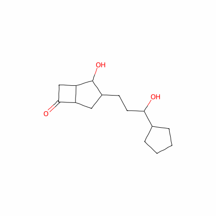 O=C1CC2C1CC(CCC(O)C1CCCC1)C2O